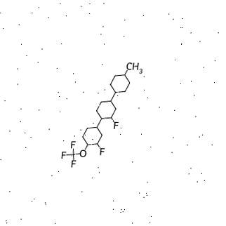 CC1CCC(C2CCC(C3CCC(OC(F)(F)F)C(F)C3)C(F)C2)CC1